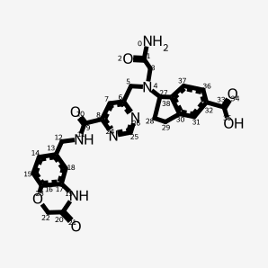 NC(=O)CN(Cc1cc(C(=O)NCc2ccc3c(c2)NC(=O)CO3)ncn1)C1CCc2cc(C(=O)O)ccc21